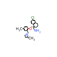 Cc1ccc(OC[C@@]2(CN)CCCc3cc(Cl)ccc32)c(CN2CC[C@H]2C)c1